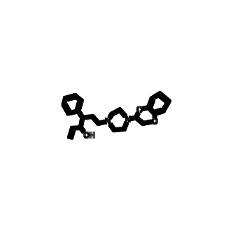 C=CC(O)C(CCN1CCN(C2COc3ccccc3O2)CC1)c1ccccc1